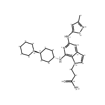 Cc1cc(Nc2nc(N[C@H]3CC[C@H](N4CCCCC4)CC3)c3c(ccn3CCC(N)=O)n2)sn1